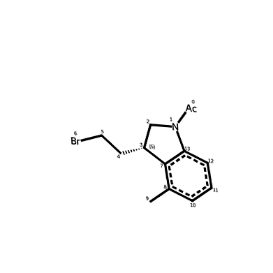 CC(=O)N1C[C@@H](CCBr)c2c(C)cccc21